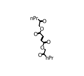 CCCC(=O)COC(=O)/C=C/C(=O)OCC(=O)CCC